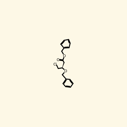 O=C(C[C@H](CCl)OCc1ccccc1)OCc1ccccc1